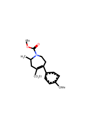 CCOC(=O)C1=C(c2ccc(OC)cc2)CCN(C(=O)OC(C)(C)C)C(C)C1